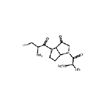 CCCC(NC(C)=O)C(=O)N1CC(=O)C2C1CCN2C(=O)C(N)CC(C)C